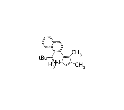 CC1=CC(C)C(c2ccc3ccccc3c2C(=N)C(C)(C)C)=C1C